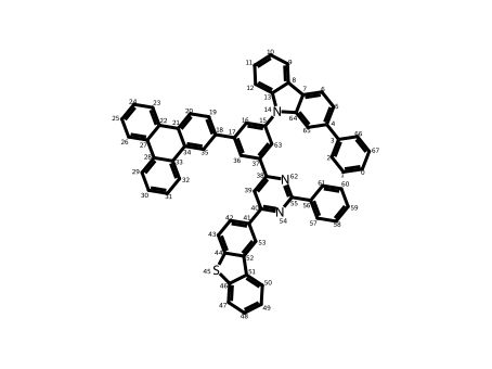 c1ccc(-c2ccc3c4ccccc4n(-c4cc(-c5ccc6c7ccccc7c7ccccc7c6c5)cc(-c5cc(-c6ccc7sc8ccccc8c7c6)nc(-c6ccccc6)n5)c4)c3c2)cc1